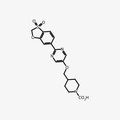 O=C(O)N1CCC(COc2cnc(-c3ccc4c(c3)OCS4(=O)=O)nc2)CC1